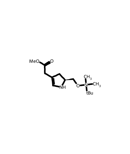 COC(=O)CC1=CN[C@H](CO[Si](C)(C)C(C)(C)C)C1